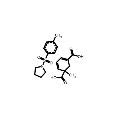 CC1(C(=O)O)C=CC=C(C(=O)O)C1.Cc1ccc(S(=O)(=O)N2CCCC2)cc1